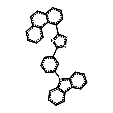 c1cc(-c2nc(-c3cccc4ccc5ccccc5c34)ns2)cc(-n2c3ccccc3c3ccccc32)c1